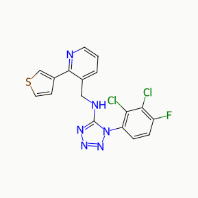 Fc1ccc(-n2nnnc2NCc2cccnc2-c2ccsc2)c(Cl)c1Cl